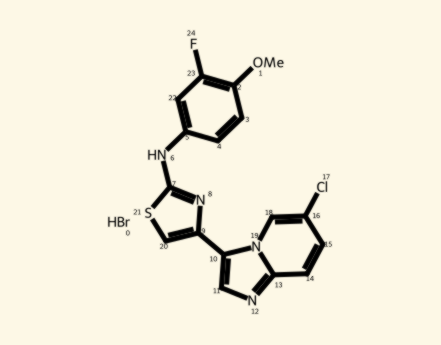 Br.COc1ccc(Nc2nc(-c3cnc4ccc(Cl)cn34)cs2)cc1F